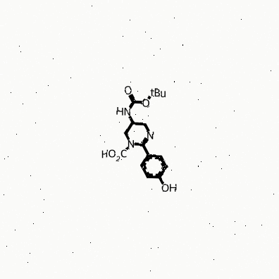 CC(C)(C)OC(=O)NC1CN=C(c2ccc(O)cc2)N(C(=O)O)C1